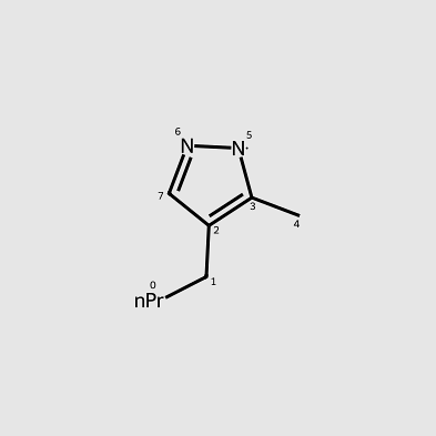 CCCCC1=C(C)[N]N=C1